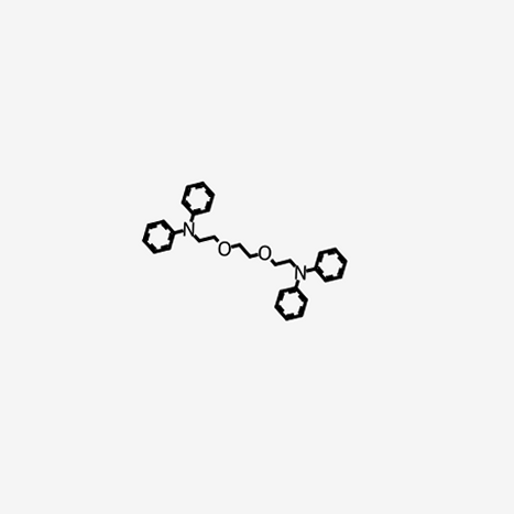 c1ccc(N(CCOCCOCCN(c2ccccc2)c2ccccc2)c2ccccc2)cc1